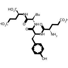 CC[C@H](C)[C@H](NC(=O)[C@H](Cc1ccc(O)cc1)NC(=O)[C@@H](N)CCC(=O)O)C(=O)N[C@@H](CCC(=O)O)C(=O)O